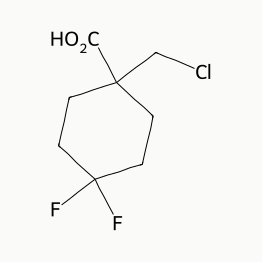 O=C(O)C1(CCl)CCC(F)(F)CC1